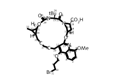 COc1cccc2c(OCCCBr)c3c(nc12)O[C@@H]1C[C@@H](C(=O)O)N(C1)C(=O)[C@H](C(C)(C)C)NC(=O)O[C@@H]1C(C)[C@H]1CCCCC3